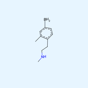 Bc1ccc(CCNC)c(C)c1